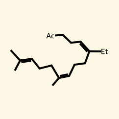 CCC(=CCCC(C)=O)CCC=C(C)CCC=C(C)C